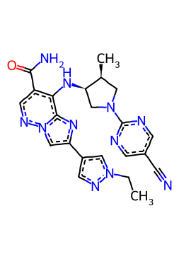 CCn1cc(-c2cn3ncc(C(N)=O)c(N[C@@H]4CN(c5ncc(C#N)cn5)C[C@@H]4C)c3n2)cn1